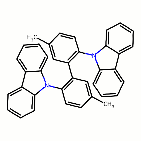 Cc1ccc(-n2c3ccccc3c3ccccc32)c(-c2cc(C)ccc2-n2c3ccccc3c3ccccc32)c1